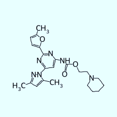 Cc1cc(C)n(-c2cc(NC(=O)OCCN3CCCCC3)nc(-c3ccc(C)o3)n2)n1